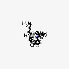 C=C(CCCCN)N[C@H]1CCN(c2c(Cl)cccc2/C=C2\SC(=O)NC2=O)C1